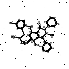 CN(C)Cc1cc(Cl)ccc1Nc1cc(=O)n(C)c2c1C(=O)N(c1ccccc1)C(O)N2c1ccccc1